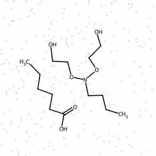 CCCCCC(=O)O.CCCCN(OCCO)OCCO